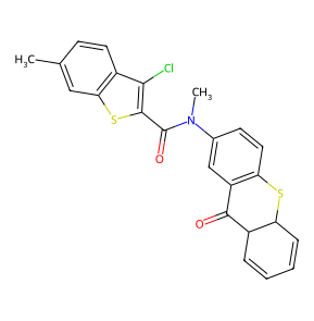 Cc1ccc2c(Cl)c(C(=O)N(C)c3ccc4c(c3)C(=O)C3C=CC=CC3S4)sc2c1